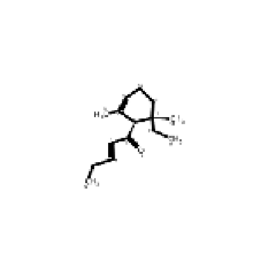 CCC=CC(=O)[C@H]1C(C)=CCC[C@]1(C)CC